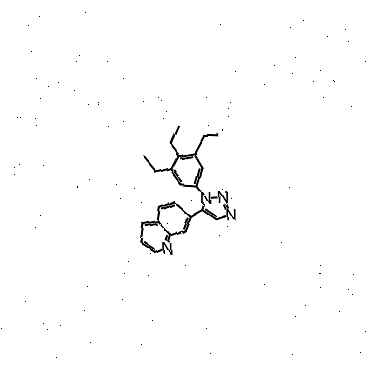 CCc1cc(-n2nncc2-c2ccc3cccnc3c2)cc(CC)c1CC